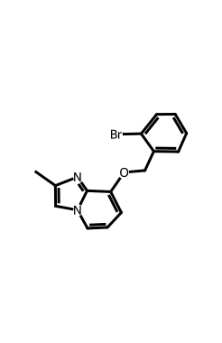 Cc1cn2cccc(OCc3ccccc3Br)c2n1